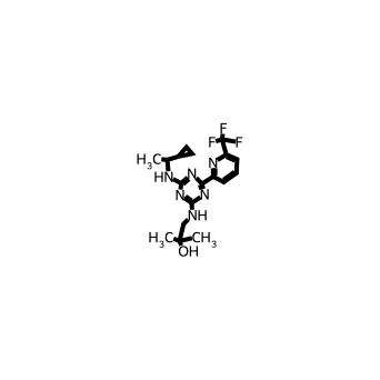 CC(Nc1nc(NCC(C)(C)O)nc(-c2cccc(C(F)(F)F)n2)n1)C1CC1